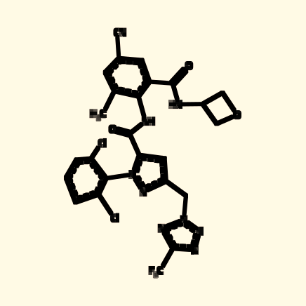 Cc1cc(C#N)cc(C(=O)NC2COC2)c1NC(=O)c1cc(Cn2nnc(C(F)(F)F)n2)nn1-c1c(Cl)cccc1Cl